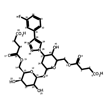 O=C(O)CCC(=O)OCC1OC(S[C@@H]2O[C@H](COC(=O)CCC(=O)O)[C@H](O)CC2O)CC(n2cc(-c3cccc(F)c3)nn2)C1O